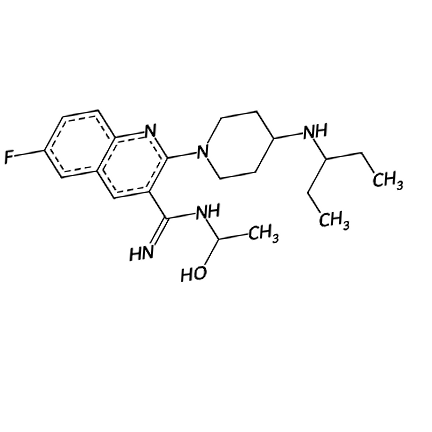 CCC(CC)NC1CCN(c2nc3ccc(F)cc3cc2C(=N)NC(C)O)CC1